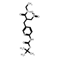 CCOC(=O)C(Cc1ccc(NC(=O)OC(C)(C)C)nc1)C[PH](=O)O